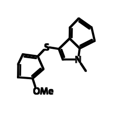 COc1cccc(Sc2cn(C)c3ccccc23)c1